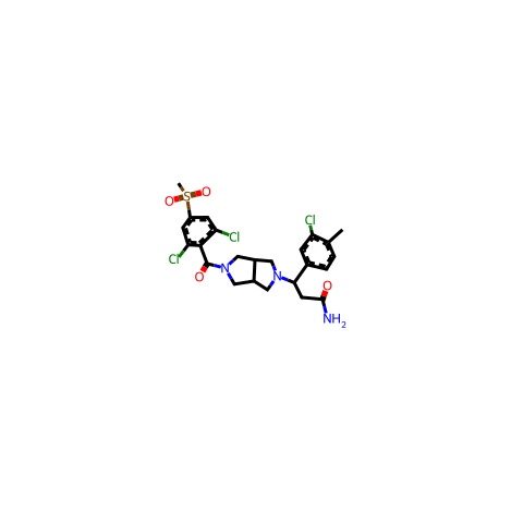 Cc1ccc(C(CC(N)=O)N2CC3CN(C(=O)c4c(Cl)cc(S(C)(=O)=O)cc4Cl)CC3C2)cc1Cl